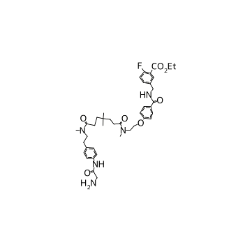 CCOC(=O)c1cc(CNC(=O)c2ccc(OCCN(C)C(=O)CCC(C)(C)CCC(=O)N(C)CCc3ccc(NC(=O)CN)cc3)cc2)ccc1F